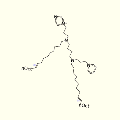 CCCCCCCC/C=C/CCCCCCCCN(CCCCN(CCCCCCCC/C=C/CCCCCCCC)CCC[n+]1ccncc1)CCC[n+]1ccccc1